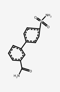 NC(=O)c1cccc(-c2ccc(S(N)(=O)=O)cc2)c1